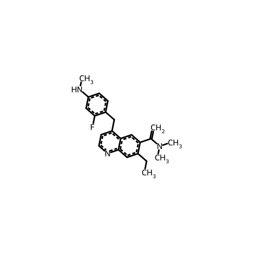 C=C(c1cc2c(Cc3ccc(NC)cc3F)ccnc2cc1CC)N(C)C